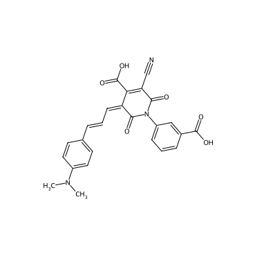 CN(C)c1ccc(C=CC=C2C(=O)N(c3cccc(C(=O)O)c3)C(=O)C(C#N)=C2C(=O)O)cc1